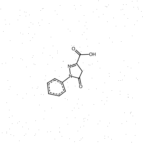 O=C(O)C1=NN(c2ccccc2)C(=O)C1